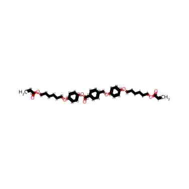 C=CC(=O)OCCCCCCOc1ccc(OCc2ccc(C(=O)Oc3ccc(OCCCCCCOC(=O)C=C)cc3)cc2)cc1